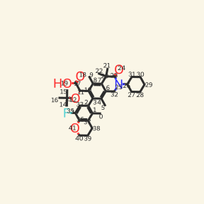 Cc1c(-c2c(C)c3c(c(C)c2[C@H](OC(C)(C)C)C(=O)O)C(C)(C)C(=O)N(C2CCCCC2)C3)cc(F)c2c1CCCO2